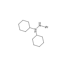 CC(C)N[SiH](C1CCCCC1)C1CCCCC1